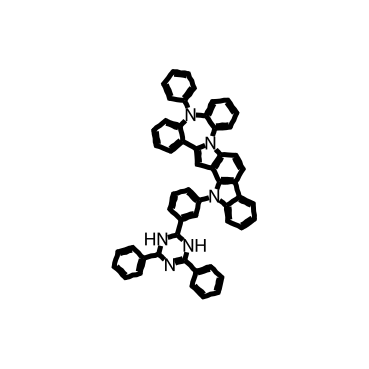 c1ccc(C2=NC(c3ccccc3)NC(c3cccc(-n4c5ccccc5c5ccc6c(cc7n6-c6ccccc6N(c6ccccc6)c6ccccc6-7)c54)c3)N2)cc1